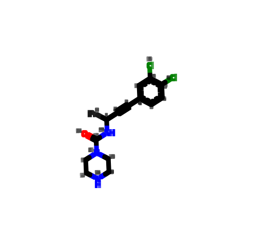 CC(C)C(C#Cc1ccc(Cl)c(Cl)c1)NC(=O)N1CCNCC1